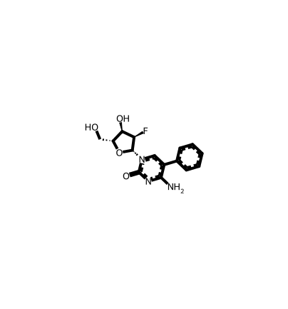 Nc1nc(=O)n([C@@H]2O[C@H](CO)[C@@H](O)[C@H]2F)cc1-c1ccccc1